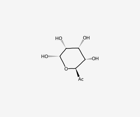 CC(=O)[C@H]1O[C@H](O)[C@H](O)[C@H](O)[C@@H]1O